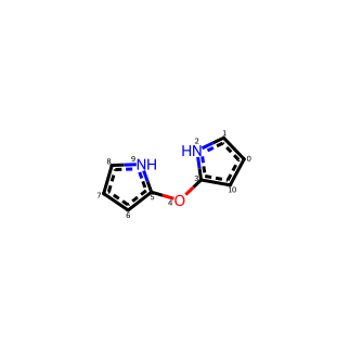 c1c[nH]c(Oc2ccc[nH]2)c1